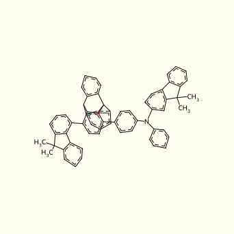 CC1(C)c2ccccc2-c2ccc(N(c3ccccc3)c3ccc(-c4ccc(-c5cccc6c5-c5ccccc5C6(C)C)c5c4C46c7ccccc7C5c5cccc4c56)cc3)cc21